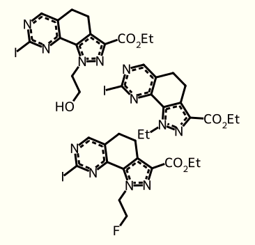 CCOC(=O)c1nn(CC)c2c1CCc1cnc(I)nc1-2.CCOC(=O)c1nn(CCF)c2c1CCc1cnc(I)nc1-2.CCOC(=O)c1nn(CCO)c2c1CCc1cnc(I)nc1-2